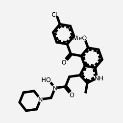 COc1ccc2[nH]c(C)c(CC(=O)N(O)CN3CCCCC3)c2c1C(=O)c1ccc(Cl)cc1